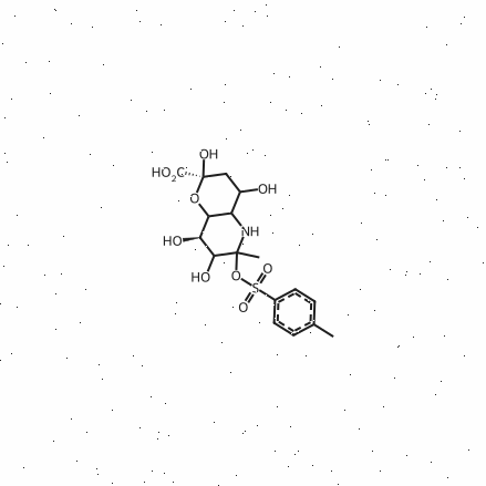 Cc1ccc(S(=O)(=O)OC2(C)NC3C(O)C[C@@](O)(C(=O)O)OC3[C@H](O)C2O)cc1